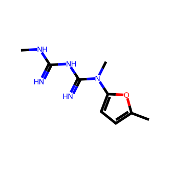 CNC(=N)NC(=N)N(C)c1ccc(C)o1